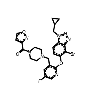 O=C(c1ccon1)N1CCN(Cc2cc(F)cnc2Oc2ccc3c(nnn3CC3CC3)c2Br)CC1